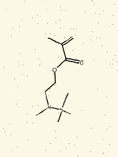 C=C(C)C(=O)OCCN(C)S(C)(C)C